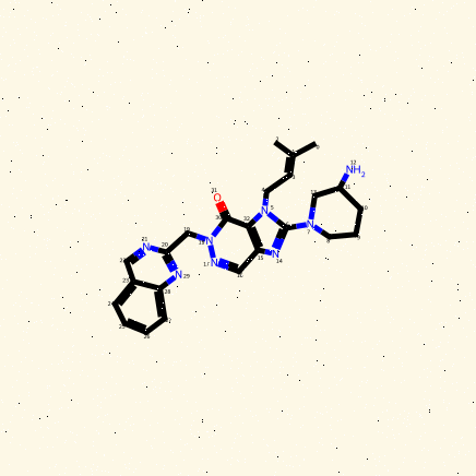 CC(C)=CCn1c(N2CCCC(N)C2)nc2cnn(Cc3ncc4ccccc4n3)c(=O)c21